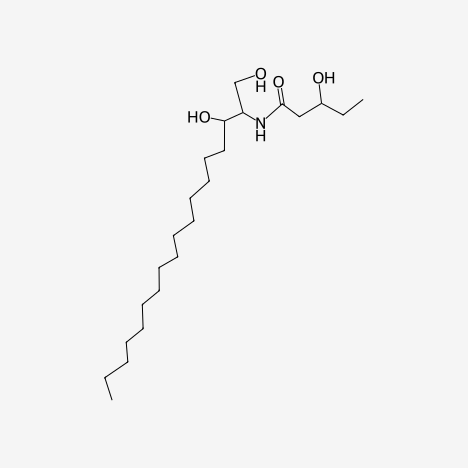 CCCCCCCCCCCCCCCC(O)C(CO)NC(=O)CC(O)CC